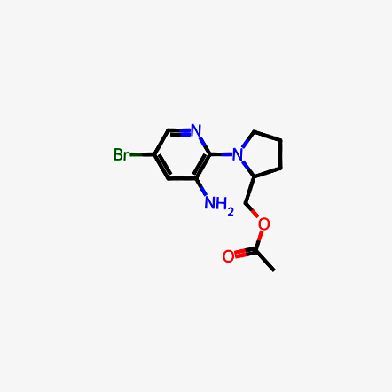 CC(=O)OCC1CCCN1c1ncc(Br)cc1N